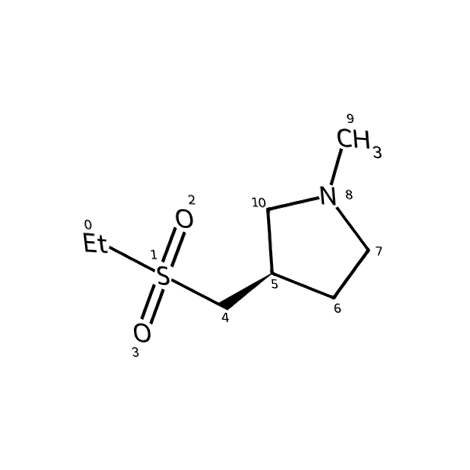 CCS(=O)(=O)C[C@@H]1CCN(C)C1